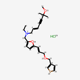 CCN(CC=CC#CC(C)(C)OC)Cc1ccc(C=CCOCc2ccsc2)o1.Cl